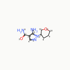 NC(=O)c1cnn(C2CCCOC2)c1N